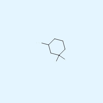 CC(C)(C)C1CCCC(F)(F)C1